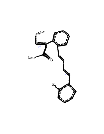 CO/C=C(/C(=O)OC)c1ccccc1C=C/C=C/c1ccccc1Br